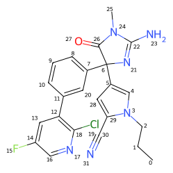 CCCn1cc(C2(c3cccc(-c4cc(F)cnc4Cl)c3)N=C(N)N(C)C2=O)cc1C#N